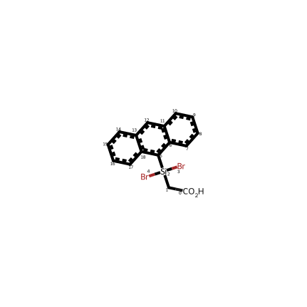 O=C(O)C[Si](Br)(Br)c1c2ccccc2cc2ccccc12